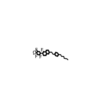 CCCCCCc1ccc(CCc2ccc3c(F)c(-c4cc(F)c(OC)c(F)c4F)ccc3c2)cc1